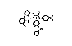 Cc1cccc(F)c1C(=O)N1C2COCC2CC(C(=O)Nc2ccc(N(C)C)cc2)[C@@H]1c1ccc(NC2CCCC2)cc1